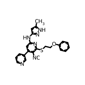 [C-]#[N+]c1c(-c2cccnc2)cc(Nc2cc(C)[nH]n2)nc1SCCOc1ccccc1